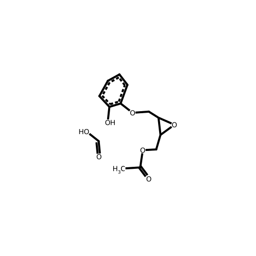 CC(=O)OCC1OC1COc1ccccc1O.O=CO